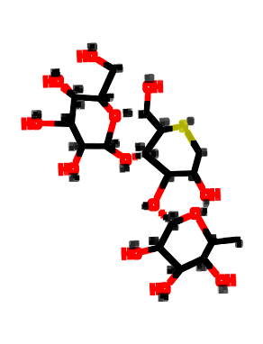 CC1O[C@@H](OC2C(O)CSC(CO)[C@H]2OC2OC(CO)[C@H](O)C(O)C2O)C(O)C(O)C1O